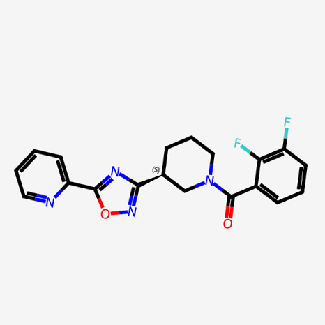 O=C(c1cccc(F)c1F)N1CCC[C@H](c2noc(-c3ccccn3)n2)C1